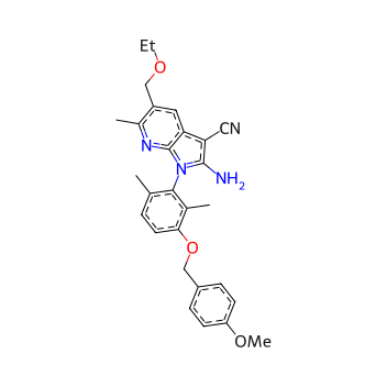 CCOCc1cc2c(C#N)c(N)n(-c3c(C)ccc(OCc4ccc(OC)cc4)c3C)c2nc1C